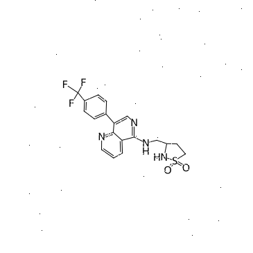 O=S1(=O)CCC(CNc2ncc(-c3ccc(C(F)(F)F)cc3)c3ncccc23)N1